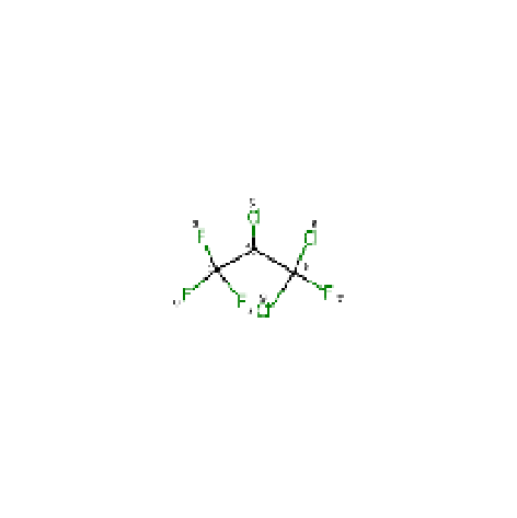 FC(F)(F)[C](Cl)C(F)(Cl)Cl